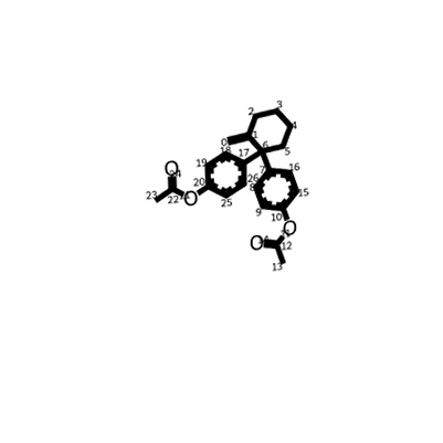 C=C1CCCCC1(c1ccc(OC(C)=O)cc1)c1ccc(OC(C)=O)cc1